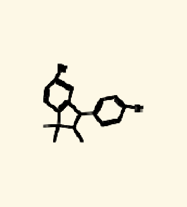 CC1C(c2ccc(Br)cc2)c2cc(Br)ccc2C1(C)C